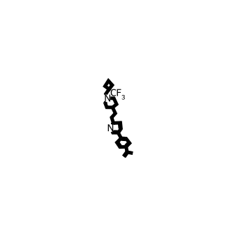 C=C(C)c1ccc(-c2ccc(CCC3CCN(CC4(C(F)(F)F)CCC4)CC3)nc2)cc1